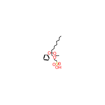 CCCCCCCCC(COCCS(=O)(=O)O)(OCC)Oc1ccccc1